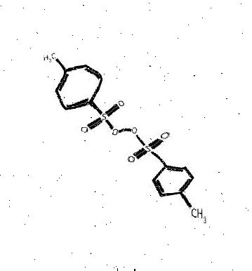 Cc1ccc(S(=O)(=O)OOS(=O)(=O)c2ccc(C)cc2)cc1